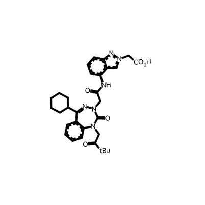 CC(C)(C)C(=O)CN1C(=O)N(CC(=O)Nc2cccc3nn(CC(=O)O)cc23)N=C(C2CCCCC2)c2ccccc21